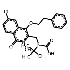 Cn1c(CN(C(=O)O)C(C)(C)C)c(OCCc2ccccc2)c2cc(Cl)ccc2c1=O